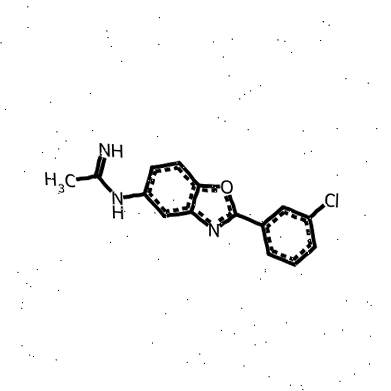 CC(=N)Nc1ccc2oc(-c3cccc(Cl)c3)nc2c1